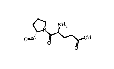 N[C@@H](CCC(=O)O)C(=O)N1CCC[C@H]1[C]=O